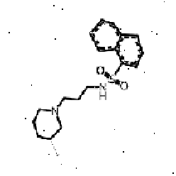 C[C@@H]1CCCN(CCCNS(=O)(=O)c2cccc3ccccc23)C1